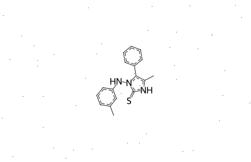 Cc1cccc(Nn2c(-c3ccccc3)c(C)[nH]c2=S)c1